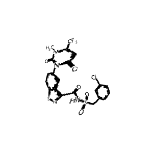 Cn1c(C(F)(F)F)cc(=O)n(-c2ccc3snc(C(=O)NS(=O)(=O)Cc4cccc(Cl)c4)c3c2)c1=O